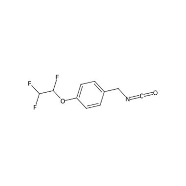 O=C=NCc1ccc(OC(F)C(F)F)cc1